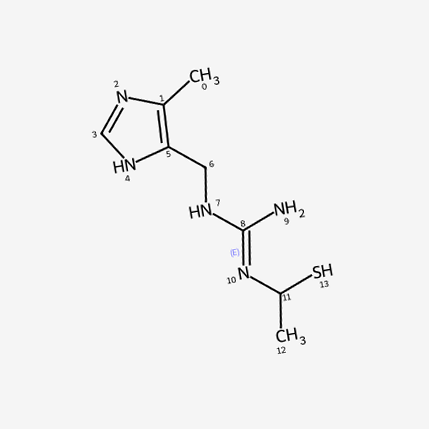 Cc1nc[nH]c1CN/C(N)=N/C(C)S